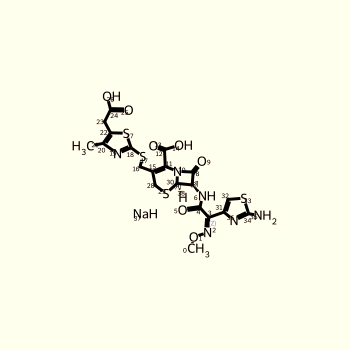 CO/N=C(\C(=O)N[C@@H]1C(=O)N2C(C(=O)O)=C(CSc3nc(C)c(CC(=O)O)s3)CS[C@H]12)c1csc(N)n1.[NaH]